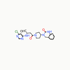 O=CC(CC(=O)N1CCC(N2Cc3ccccc3NC2=O)CC1)Nc1cc(Cl)ncn1